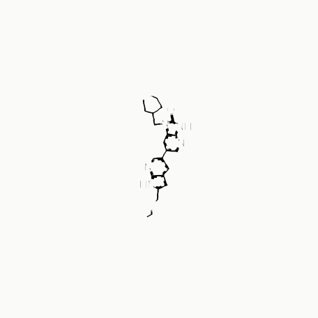 CCOCc1cc2cc(-c3cnc4[nH]c(=O)n(CC5CCOCC5)c4c3)cnc2[nH]1